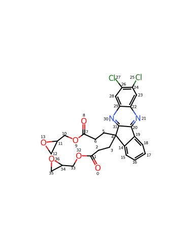 O=C(CCC1(CCC(=O)OCC2CO2)c2ccccc2-c2nc3cc(Cl)c(Cl)cc3nc21)OCC1CO1